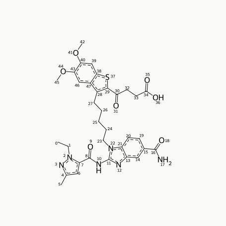 CCn1nc(C)cc1C(=O)Nc1nc2cc(C(N)=O)ccc2n1CCCCCc1c(C(=O)CCC(=O)O)sc2cc(OC)c(OC)cc12